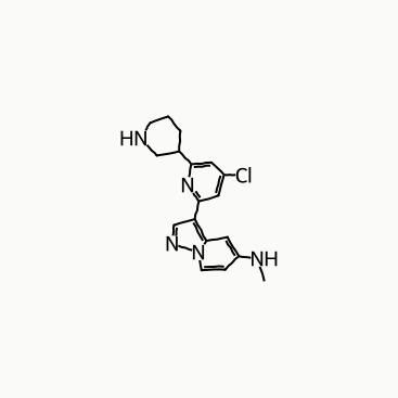 CNc1ccn2ncc(-c3cc(Cl)cc(C4CCCNC4)n3)c2c1